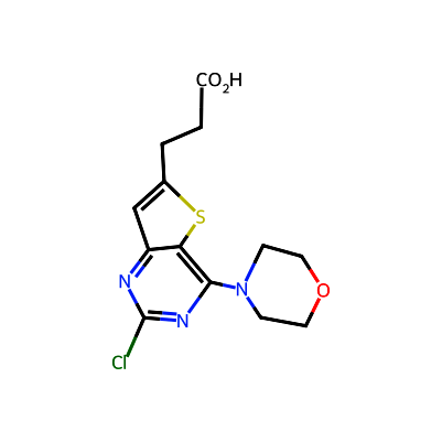 O=C(O)CCc1cc2nc(Cl)nc(N3CCOCC3)c2s1